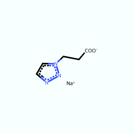 O=C([O-])CCn1ccnn1.[Na+]